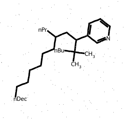 CCCCCCCCCCCCCCCCC(CCC)CC(c1cccnc1)C(C)(C)CCCC